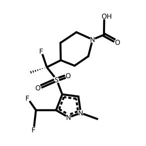 Cn1cc(S(=O)(=O)[C@@](C)(F)C2CCN(C(=O)O)CC2)c(C(F)F)n1